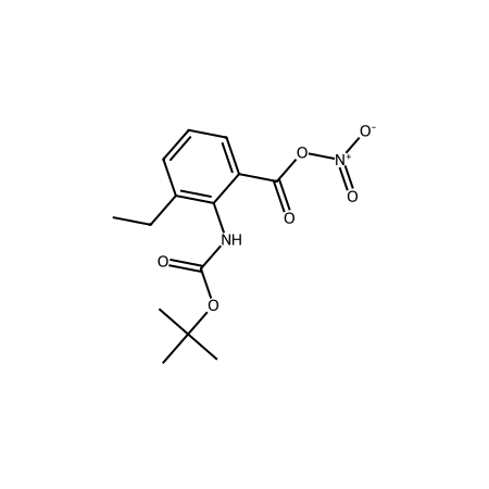 CCc1cccc(C(=O)O[N+](=O)[O-])c1NC(=O)OC(C)(C)C